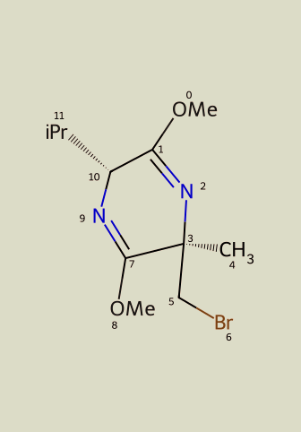 COC1=N[C@@](C)(CBr)C(OC)=N[C@@H]1C(C)C